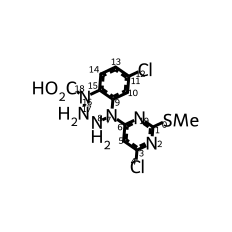 CSc1nc(Cl)cc(N(N)c2cc(Cl)ccc2N(N)C(=O)O)n1